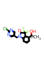 C[C@H](O)c1cccc2c1C(F)(F)C(=O)N2Cc1cnc(Cl)nc1